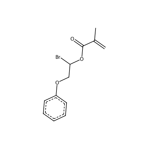 C=C(C)C(=O)OC(Br)COc1ccccc1